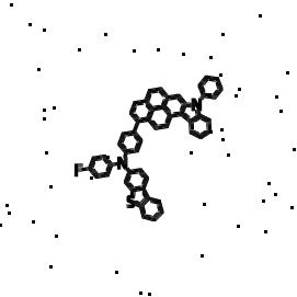 Fc1ccc(N(c2ccc(-c3ccc4ccc5cc6c(c7ccc3c4c57)c3ccccc3n6-c3ccccc3)cc2)c2ccc3c(c2)sc2ccccc23)cc1